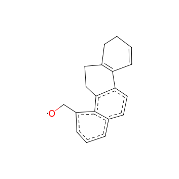 [O]Cc1cccc2ccc3c(c12)CCC1=C3C=CCC1